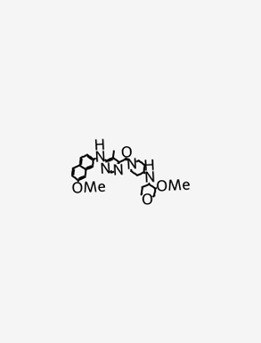 COc1ccc2ccc(Nc3ncnc(C(=O)N4CCC(N[C@H]5CCOCC5OC)CC4)c3C)cc2c1